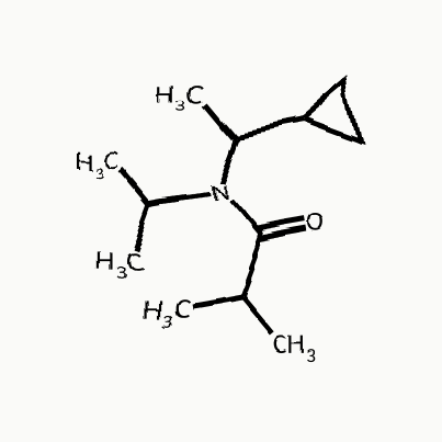 CC(C)C(=O)N(C(C)C)C(C)C1CC1